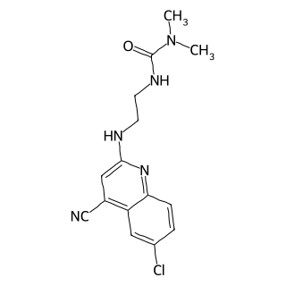 CN(C)C(=O)NCCNc1cc(C#N)c2cc(Cl)ccc2n1